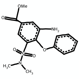 COC(=O)c1cc(N)c(Oc2ccccc2)c(S(=O)(=O)N(C)C)c1